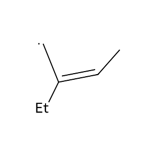 [CH2]/C(=C\C)CC